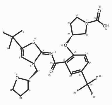 CC(C)(C)c1cn(C[C@H]2CCCO2)c(=NC(=O)c2cc(C(F)(F)F)ccc2O[C@H]2CCN(C(=O)O)C2)s1